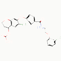 O=C(O)OC1CCOc2cc(Oc3ccc(C(=O)NCCOc4ccccc4Cl)cc3)c(Cl)cc21